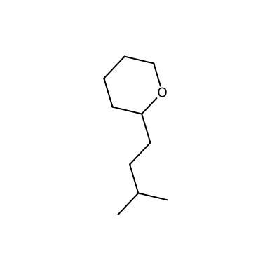 CC(C)CCC1CCCCO1